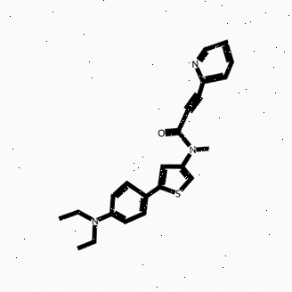 CCN(CC)c1ccc(-c2cc(N(C)C(=O)C#Cc3ccccn3)cs2)cc1